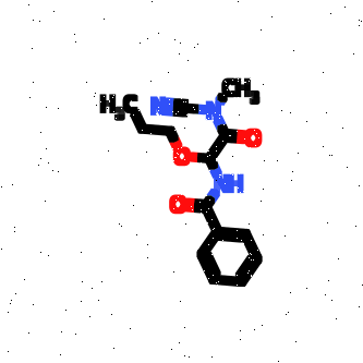 CCCOC(NC(=O)c1ccccc1)C(=O)N(C)C#N